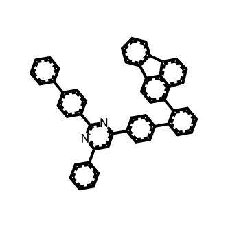 c1ccc(-c2ccc(-c3nc(-c4ccccc4)cc(-c4ccc(-c5ccccc5-c5ccc6c7c(cccc57)-c5ccccc5-6)cc4)n3)cc2)cc1